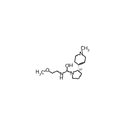 COCCNC(O)N1CCC[C@H]1C1=CCN(C)CC1